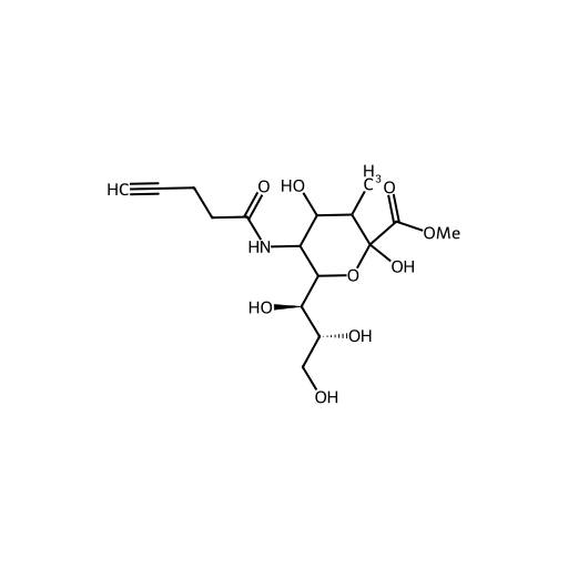 C#CCCC(=O)NC1C(O)C(C)C(O)(C(=O)OC)OC1[C@H](O)[C@H](O)CO